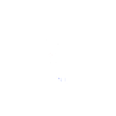 COc1c(-c2ccccc2)cccc1-c1cccc(N)c1